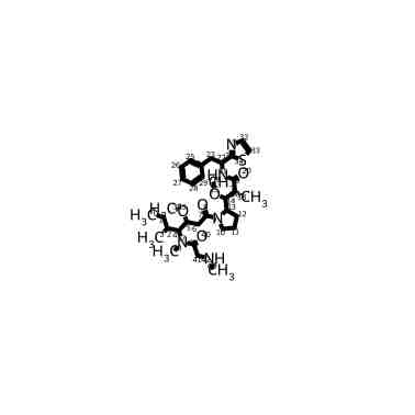 CCC(C)C(C(CC(=O)N1CCCC1C(OC)[C@@H](C)C(=O)NC(Cc1ccccc1)c1nccs1)OC)N(C)C(=O)CNC